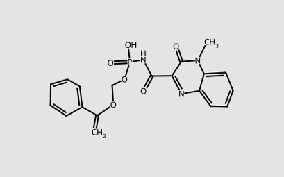 C=C(OCOP(=O)(O)NC(=O)c1nc2ccccc2n(C)c1=O)c1ccccc1